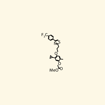 COC(=O)COc1cc(C2CC2)c(OCCCc2nc(-c3ccc(C(F)(F)F)cc3)cs2)cc1C